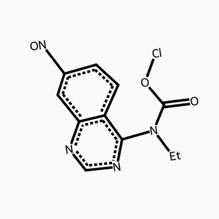 CCN(C(=O)OCl)c1ncnc2cc(N=O)ccc12